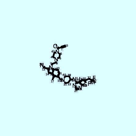 C#CC(=O)N1CCN(CCn2c(C#N)cc3c(C)c(CN4CCC(Nc5ncnc6sc(CC(F)(F)F)cc56)CC4)ccc32)CC1